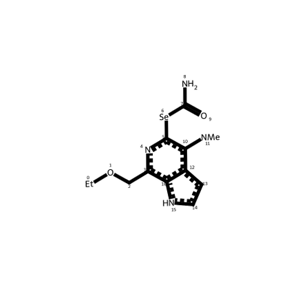 CCOCc1nc([Se]C(N)=O)c(NC)c2cc[nH]c12